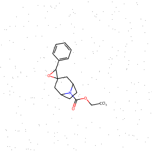 O=C(OCC(Cl)(Cl)Cl)N1C2CCC1CC1(C2)OC1c1ccccc1